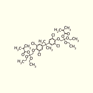 C=C(C)C(=O)OC(COc1c(Cl)cc(C(C)(C)c2cc(Cl)c(OCC(OCC)(OCC)OC(=O)C(=C)C)c(Cl)c2)cc1Cl)(OCC)OCC